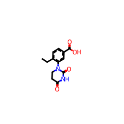 CCc1ccc(C(=O)O)cc1N1CCC(=O)NC1=O